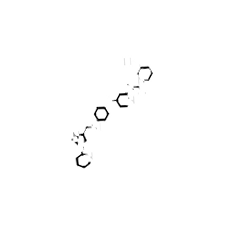 O=C(Nc1ccc(Oc2ccnc(NC(=O)N3C=CC=C(O)C3)c2)c(F)c1)c1cn(-c2ccccn2)nn1